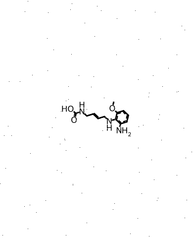 COc1cccc(N)c1NCC=CCNC(=O)O